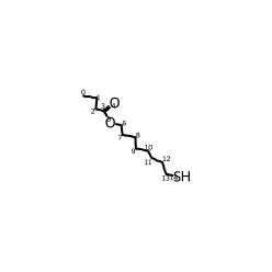 CCCC(=O)OCCCCCCCCS